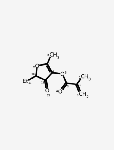 C=C(C)C(=O)OC1=C(C)OC(CC)C1=O